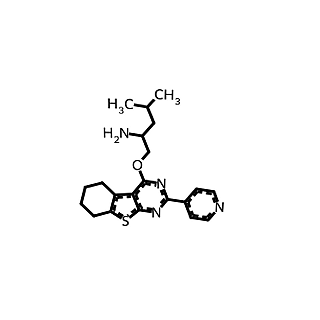 CC(C)CC(N)COc1nc(-c2ccncc2)nc2sc3c(c12)CCCC3